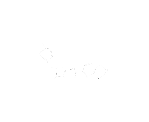 CC1N=C(NC(=O)c2ccc3c(n2)CCNC3)SC1Cc1ccc(Cl)cc1